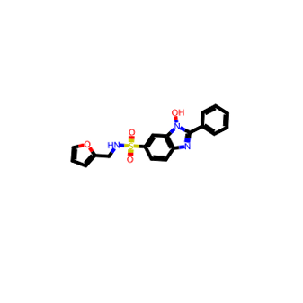 O=S(=O)(NCc1ccco1)c1ccc2nc(-c3ccccc3)n(O)c2c1